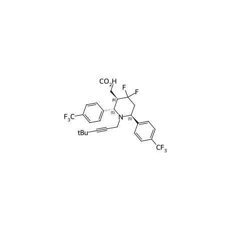 CC(C)(C)C#CCN1[C@H](c2ccc(C(F)(F)F)cc2)[C@@H](CC(=O)O)C(F)(F)C[C@H]1c1ccc(C(F)(F)F)cc1